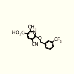 Cc1nc(OCc2cccc(C(F)(F)F)c2)c(C#N)cc1C(=O)O